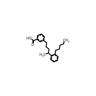 CCCCCc1ccccc1C(C)CCCc1cccc(C(=O)O)c1